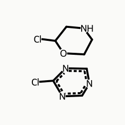 ClC1CNCCO1.Clc1ncncn1